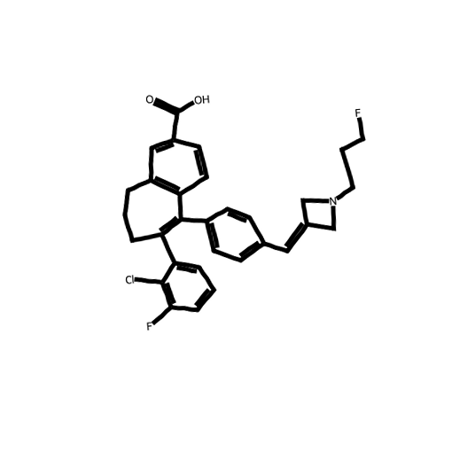 O=C(O)c1ccc2c(c1)CCCC(c1cccc(F)c1Cl)=C2c1ccc(C=C2CN(CCCF)C2)cc1